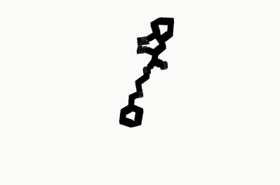 CC(=O)C(=Cc1ccccc1C#N)C(=O)OCCSCc1ccccc1